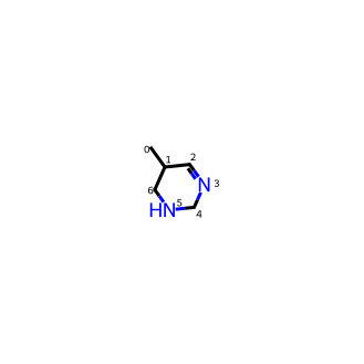 CC1C=NCNC1